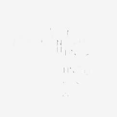 CC(C)C[C@H](NC(=O)OCc1ccccc1)C(=O)N[C@@H](CC(C)C)C(=O)N[C@@H](CC(C)C)C1(C=O)CCCCCCCCC1